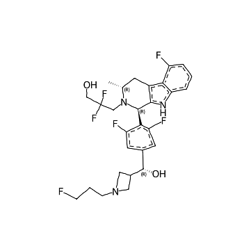 C[C@@H]1Cc2c([nH]c3cccc(F)c23)[C@@H](c2c(F)cc([C@H](O)C3CN(CCCF)C3)cc2F)N1CC(F)(F)CO